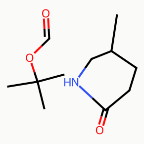 CC(C)(C)OC=O.CC1CCC(=O)NC1